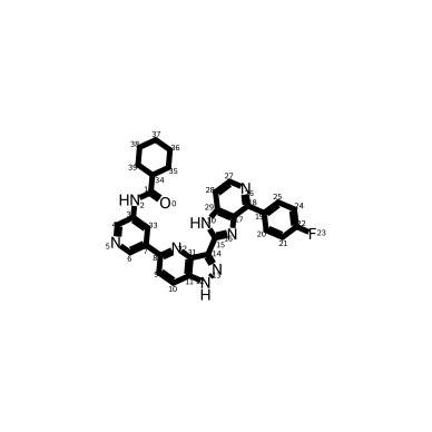 O=C(Nc1cncc(-c2ccc3[nH]nc(-c4nc5c(-c6ccc(F)cc6)nccc5[nH]4)c3n2)c1)C1CCCCC1